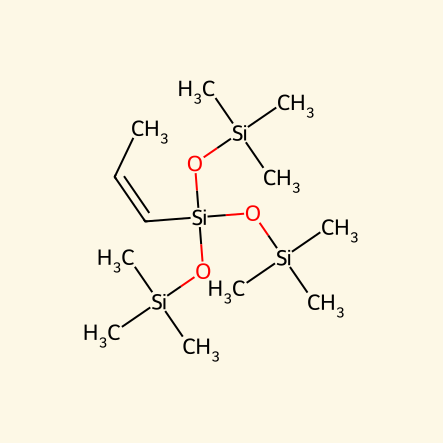 C/C=C\[Si](O[Si](C)(C)C)(O[Si](C)(C)C)O[Si](C)(C)C